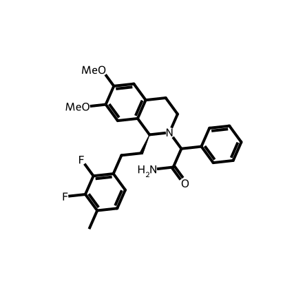 COc1cc2c(cc1OC)[C@H](CCc1ccc(C)c(F)c1F)N(C(C(N)=O)c1ccccc1)CC2